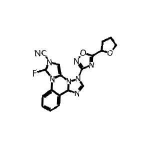 N#CN1C=C2N(c3ccccc3C3N=CN(c4noc(C5CCCO5)n4)N23)C1F